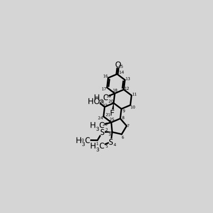 CCS[C@]1(SC)CCC2C3CCC4=CC(=O)C=CC4(C)[C@@]3(F)C(O)CC21C